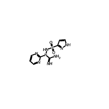 N=C(N)N(NS(=O)(=O)c1cc[nH]n1)c1ncccn1